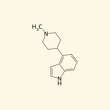 CN1CCC(c2cccc3[nH]ccc23)CC1